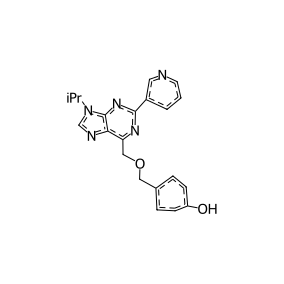 CC(C)n1cnc2c(COCc3ccc(O)cc3)nc(-c3cccnc3)nc21